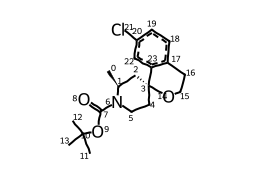 C[C@H]1C[C@@]2(CCN1C(=O)OC(C)(C)C)OCCc1ccc(Cl)cc12